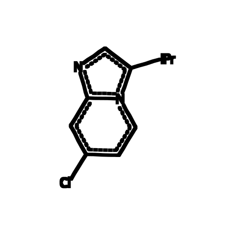 CC(C)c1cnc2cc(Cl)ccn12